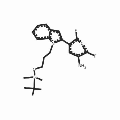 CC(C)(C)[Si](C)(C)OCCCn1c(-c2cc(N)c(F)cc2F)cc2ccccc21